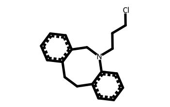 ClCCCN1Cc2ccccc2CCc2ccccc21